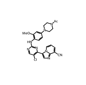 COc1cc(N2CCN(C(C)=O)CC2)ccc1Nc1ncc(Cl)c(-c2cnc3c(C#N)cccn23)n1